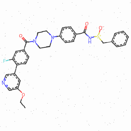 CCOc1cncc(-c2ccc(C(=O)N3CCN(c4ccc(C(=O)N[S+]([O-])Cc5ccccc5)cc4)CC3)cc2F)c1